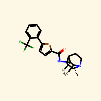 C[C@H]1[C@H](NC(=O)c2ccc(-c3ccccc3C(F)(F)F)s2)C2CCN1CC2